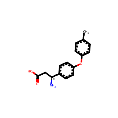 Cc1ccc(Oc2ccc([C@@H](N)CC(=O)O)cc2)cc1